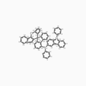 c1ccc(N(c2ccc3c(c2)c2ccccc2n3-c2ccccc2)c2cccc3c2-c2ccccc2C32c3ccccc3Oc3c2ccc2ccccc32)cc1